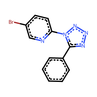 Brc1ccc(-n2nnnc2-c2ccccc2)nc1